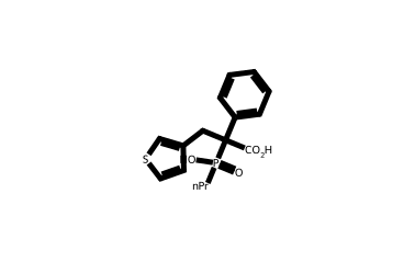 CCCP(=O)(O)C(Cc1ccsc1)(C(=O)O)c1ccccc1